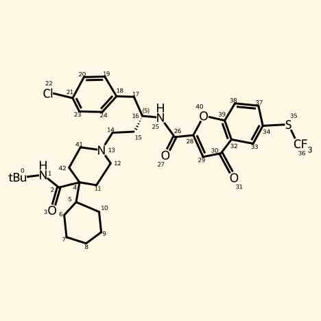 CC(C)(C)NC(=O)C1(C2CCCCC2)CCN(CC[C@H](Cc2ccc(Cl)cc2)NC(=O)c2cc(=O)c3cc(SC(F)(F)F)ccc3o2)CC1